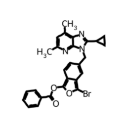 Cc1cc(C)c2nc(C3CC3)n(Cc3ccc4c(OC(=O)c5ccccc5)oc(Br)c4c3)c2n1